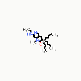 CCC[CH2][Sn]([CH2]CCC)([CH2]CCC)[c]1cc2cnc(NCC)cc2n(C)c1=O